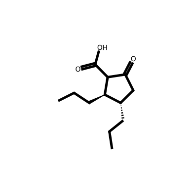 CCC[C@H]1CC(=O)C(C(=O)O)[C@@H]1CCC